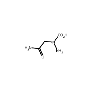 NC(=O)CN(N)C(=O)O